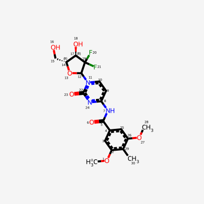 COc1cc(C(=O)Nc2ccn(C3O[C@H](CO)[C@@H](O)C3(F)F)c(=O)n2)cc(OC)c1C